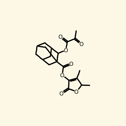 CC(=O)C(=O)OC1C2CC3CC(C2)CC1(C(=O)OC1=C(C)C(C)OC1=O)C3